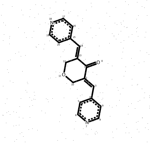 O=C1/C(=C/c2ccncc2)COC/C1=C\c1ccncc1